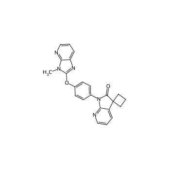 Cn1c(Oc2ccc(N3C(=O)C4(CCC4)c4cccnc43)cc2)nc2cccnc21